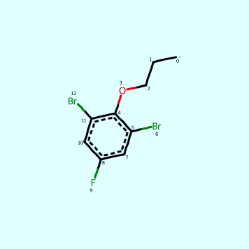 [CH2]CCOc1c(Br)cc(F)cc1Br